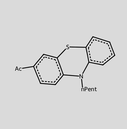 CCCCCN1c2ccccc2Sc2cc(C(C)=O)ccc21